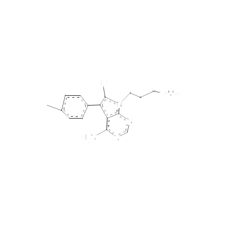 CCc1c(-c2ccc(C)cc2)c2c(N)ncnc2n1CCCOC